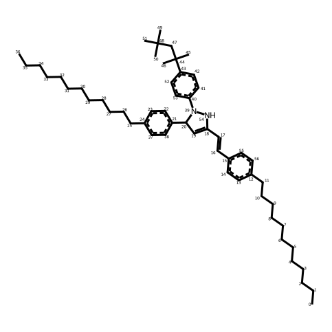 CCCCCCCCCCCCc1ccc(C=CC2=CC(c3ccc(CCCCCCCCCCCC)cc3)N(c3ccc(C(C)(C)CC(C)(C)C)cc3)N2)cc1